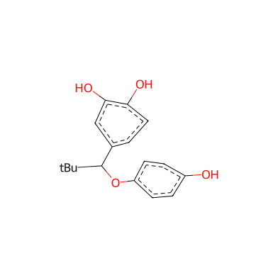 CC(C)(C)C(Oc1ccc(O)cc1)c1ccc(O)c(O)c1